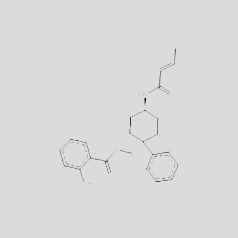 C/C=C/C(=O)N[C@H]1CC[C@@](CNC(=O)c2ccccc2OC)(c2ccccc2)CC1